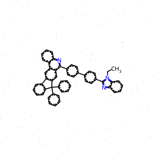 CCn1c(-c2ccc(-c3ccc(-c4nc5ccccc5c5cc6c(cc45)C(c4ccccc4)(c4ccccc4)c4ccccc4-6)cc3)cc2)nc2ccccc21